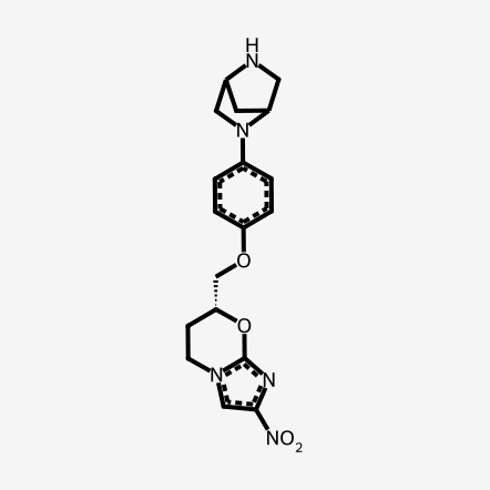 O=[N+]([O-])c1cn2c(n1)O[C@@H](COc1ccc(N3CC4CC3CN4)cc1)CC2